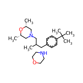 C1COCCN1.CC(Cc1ccc(C(C)(C)C)cc1)CN1C[C@@H](C)O[C@@H](C)C1